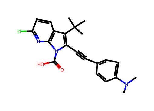 CN(C)c1ccc(C#Cc2c(C(C)(C)C)c3ccc(Cl)nc3n2C(=O)O)cc1